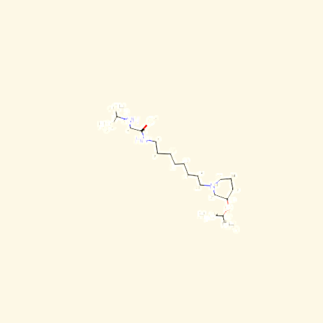 CC(C)NCC(=O)NCCCCCCCCN1CCCC(OC(C)C)C1